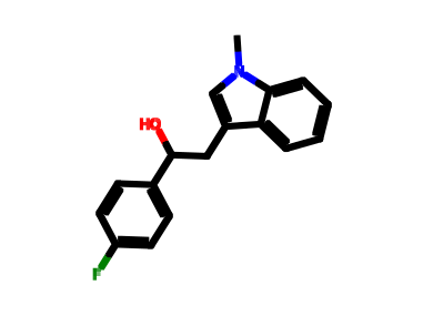 Cn1cc(CC(O)c2ccc(F)cc2)c2ccccc21